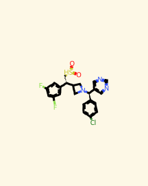 O=[SH](=O)C[C@@H](c1cc(F)cc(F)c1)C1CN([C@H](c2ccc(Cl)cc2)c2cncnc2)C1